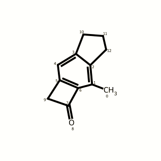 Cc1c2c(cc3c1C(=O)C3)CCC2